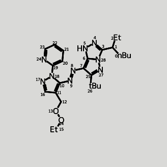 CCCCC(CC)c1n[nH]c2c(/N=N/c3c(COOCC)cnn3-c3ccccn3)c(C(C)(C)C)nn12